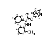 Cc1ccccc1NC(C(=O)OC1CN2CCC1CC2)c1ccccc1